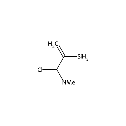 C=C([SiH3])C(Cl)NC